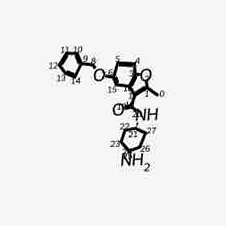 Cc1oc2ccc(OCc3ccccc3)cc2c1C(=O)N[C@H]1CC[C@H](N)CC1